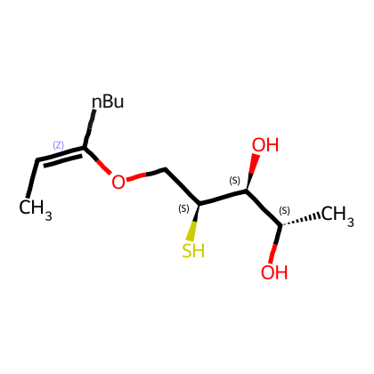 C/C=C(/CCCC)OC[C@H](S)[C@@H](O)[C@H](C)O